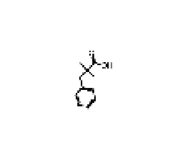 CC(C)(Cc1cc[c]cc1)C(=O)O